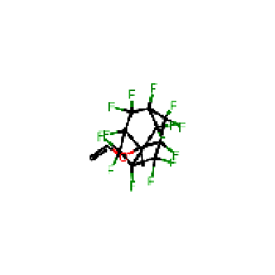 C=COC1(C)C2(F)C(F)(F)C3(F)C(F)(F)C(F)(C2(F)F)C(F)(F)C1(F)C3(F)F